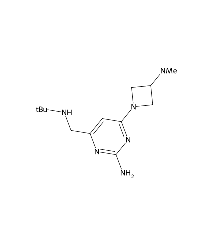 CNC1CN(c2cc(CNC(C)(C)C)nc(N)n2)C1